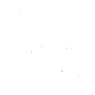 Cc1ncsc1-c1ccc([C@H](C)NC(=O)[C@@H]2C[C@@H](O)CN2C(=O)[C@@H](OC(N)=O)C(C)C)cc1